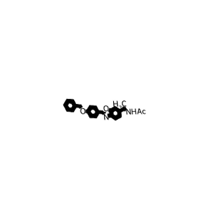 CC(=O)NC(C)c1ccc2nc(-c3ccc(OCc4ccccc4)cc3)oc2c1